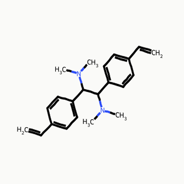 C=Cc1ccc(C(C(c2ccc(C=C)cc2)N(C)C)N(C)C)cc1